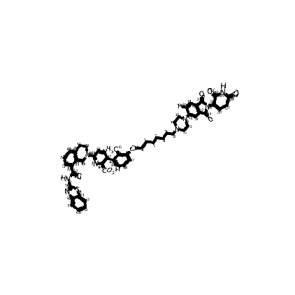 Cc1c(OCCCCCCCN2CCN(c3cc4c(cc3F)C(=O)N(C3CCC(=O)NC3=O)C4=O)CC2)cccc1-c1ccc(N2CCc3cccc(C(=O)Nc4nc5ccccc5s4)c3C2)nc1C(=O)O